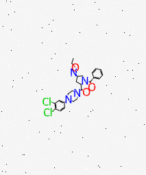 CCON=C1CC(C(=O)N2CCN(c3ccc(Cl)c(Cl)c3)CC2)N(C(=O)c2ccccc2)C1